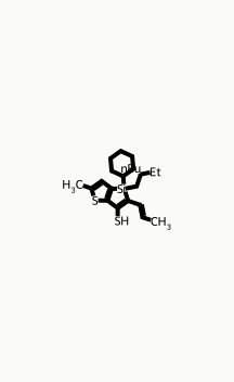 CC=CC1=C(S)c2sc(C)cc2[Si]1(CC(CC)CCCC)C1CCCCC1